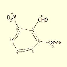 COc1cccc([N+](=O)[O-])c1C=O